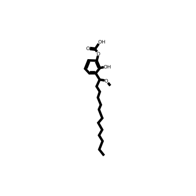 CCCCCCCCCCCCC(OC)c1cccc(OC(=O)O)c1O